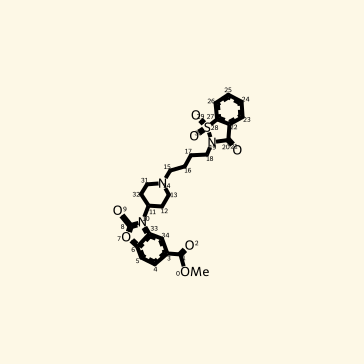 COC(=O)c1ccc2oc(=O)n(C3CCN(CCCCN4C(=O)c5ccccc5S4(=O)=O)CC3)c2c1